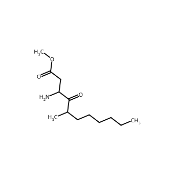 CCCCCCC(C)C(=O)C(N)CC(=O)OC